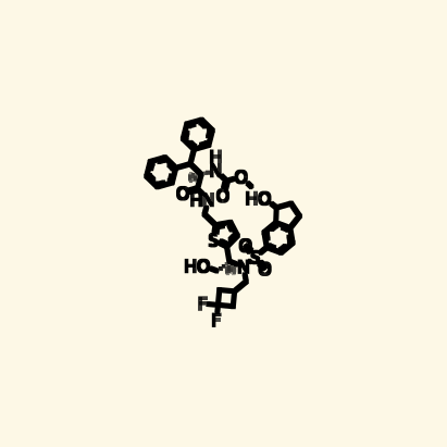 COC(=O)N[C@H](C(=O)NCc1ccc([C@@H](CO)N(CC2CC(F)(F)C2)S(=O)(=O)c2ccc3c(c2)C(O)CC3)s1)C(c1ccccc1)c1ccccc1